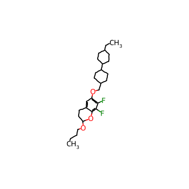 CCCCOC1CCc2cc(OCC3CCC(C4CCC(CC)CC4)CC3)c(F)c(F)c2O1